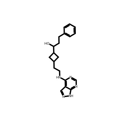 OC(CCc1ccccc1)C1CC(CCNc2ncnc3[nH]ncc23)C1